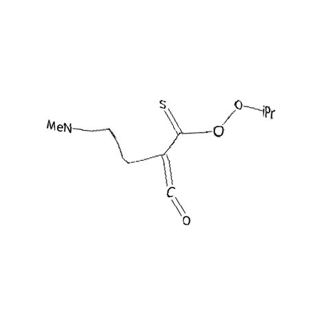 CNCCC(=C=O)C(=S)OOC(C)C